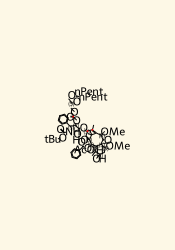 CCCCCC1(CCCCC)OC[C@@H](COC(=O)O[C@@H](C(=O)O[C@H]2C[C@@]3(O)[C@@H](OC(=O)c4ccccc4)[C@@H]4[C@]5(OC(C)=O)CO[C@@H]5C[C@H](OC)[C@@]4(C)C(=O)[C@H](OC)C(=C2C)C3(C)C)[C@@H](NC(=O)OC(C)(C)C)c2ccccc2)O1